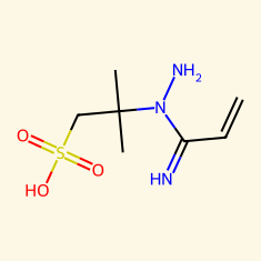 C=CC(=N)N(N)C(C)(C)CS(=O)(=O)O